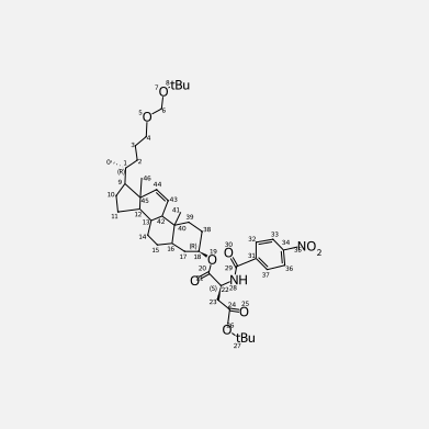 C[C@H](CCCOCOC(C)(C)C)C1CCC2C3CCC4C[C@H](OC(=O)[C@H](CC(=O)OC(C)(C)C)NC(=O)c5ccc([N+](=O)[O-])cc5)CCC4(C)C3C=CC21C